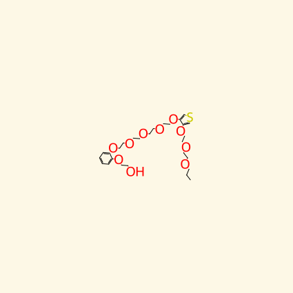 CCCOCCOCCOc1cscc1OCCOCCOCCOCCOc1ccccc1OCCO